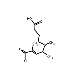 CC(=CC(C)N(C)CCCC(=O)O)C(=O)O